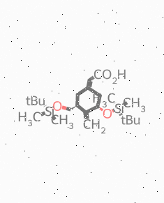 C=C1[C@H](CO[Si](C)(C)C(C)(C)C)CC(=CC(=O)O)C[C@H]1O[Si](C)(C)C(C)(C)C